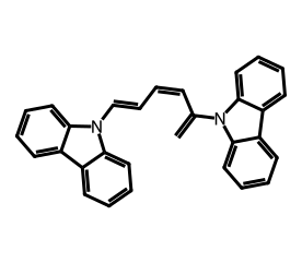 C=C(/C=C\C=C\n1c2ccccc2c2ccccc21)n1c2ccccc2c2ccccc21